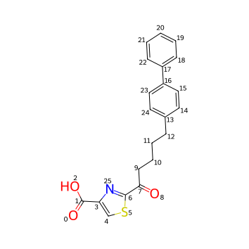 O=C(O)c1csc(C(=O)CCCCc2ccc(-c3ccccc3)cc2)n1